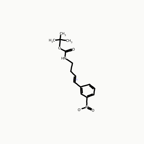 CC(C)(C)OC(=O)NCC/C=C/c1cccc([N+](=O)[O-])c1